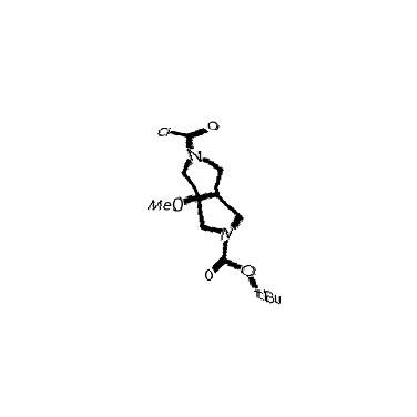 COC12CN(C(=O)Cl)CC1CN(C(=O)OC(C)(C)C)C2